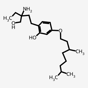 CCC(N)(CO)CCc1ccc(OCCC(C)CCCC(C)C)cc1O